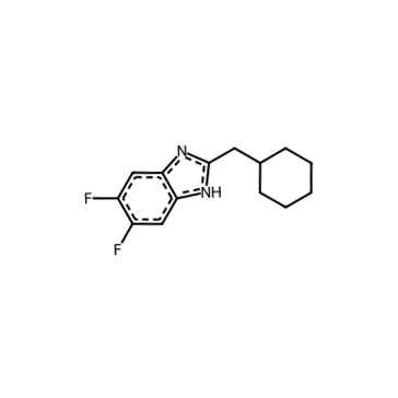 Fc1cc2nc(CC3CCCCC3)[nH]c2cc1F